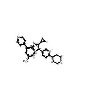 Cc1cc(-c2ccncc2)c2nc(C3CC3)c(-c3ccc(C4CCOCC4)nc3)n2n1